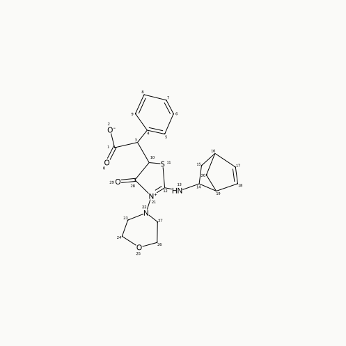 O=C([O-])C(c1ccccc1)C1SC(NC2CC3C=CC2C3)=[N+](N2CCOCC2)C1=O